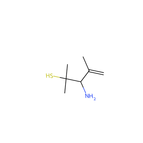 C=C(C)C(N)C(C)(C)S